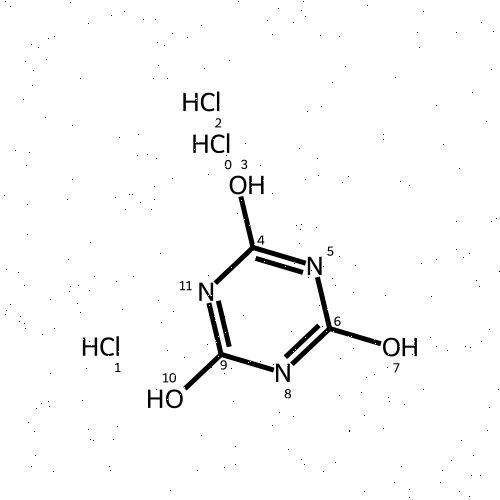 Cl.Cl.Cl.Oc1nc(O)nc(O)n1